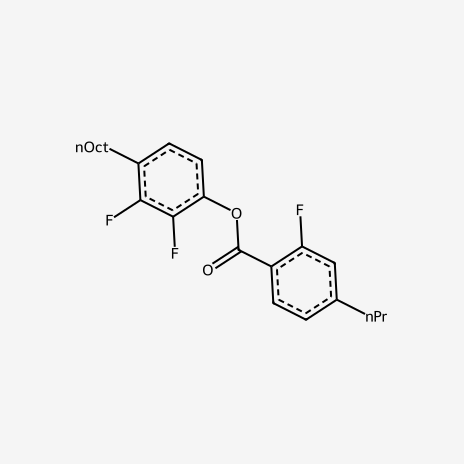 CCCCCCCCc1ccc(OC(=O)c2ccc(CCC)cc2F)c(F)c1F